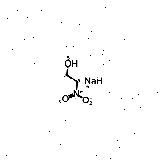 O=[N+]([O-])CCO.[NaH]